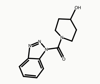 O=C(N1CCC(O)CC1)n1nnc2ccccc21